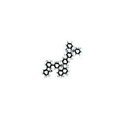 c1ccc(N2c3ccccc3Sc3cc(-c4ccc(N(c5ccc(-c6cccc7c6sc6ccccc67)cc5)c5cccc6ccccc56)cc4)ccc32)cc1